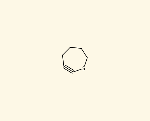 C1#CSCCCC1